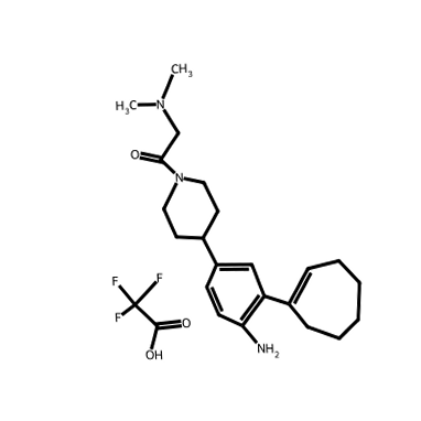 CN(C)CC(=O)N1CCC(c2ccc(N)c(C3=CCCCCC3)c2)CC1.O=C(O)C(F)(F)F